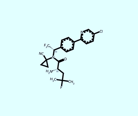 CC(C)(F)C[C@H](N)C(=O)N([C@@H](c1ccc(-c2ccc(Cl)cn2)cc1)C(F)(F)F)C1(C#N)CC1